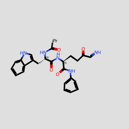 CC(C)C(=O)N[C@@H](Cc1c[nH]c2ccccc12)C(=O)N[C@@H](CCC(=O)C=N)C(=O)Nc1ccccc1